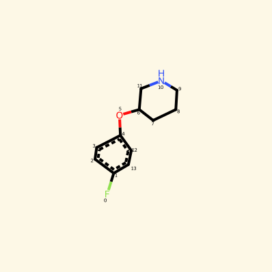 Fc1ccc(OC2CCCNC2)cc1